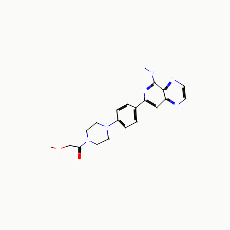 CNc1nc(-c2ccc(N3CCN(C(=O)COC)CC3)cc2)cc2nccnc12